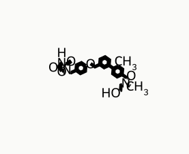 Cc1cc(C(=O)N(C)CCO)ccc1-c1cccc(COc2ccc(Cn3oc(=O)[nH]c3=O)cc2)c1